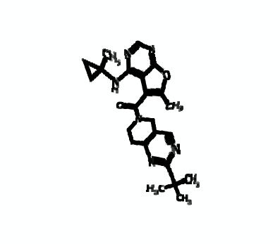 Cc1oc2ncnc(NC3(C)CC3)c2c1C(=O)N1CCc2nc(C(C)(C)C)ncc2C1